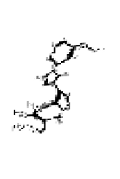 CCc1c(C)[nH]c2c(-c3cnn(-c4cc(OC)ccn4)c3)cnn2c1=O